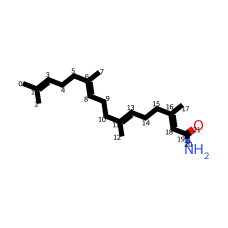 CC(C)=CCCC(C)=CCCC(C)=CCCC(C)=CC(N)=O